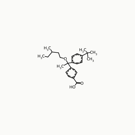 CCC(C)CCOC(C)(c1ccc(C(=O)O)cc1)c1ccc(C(C)(C)C)cc1